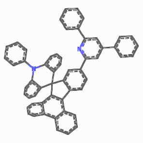 c1ccc(-c2cc(-c3ccccc3)nc(-c3ccc4c(c3)C3(c5ccccc5N(c5ccccc5)c5ccccc53)c3c-4c4ccccc4c4ccccc34)c2)cc1